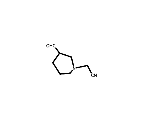 N#CCN1CCCC(C=O)C1